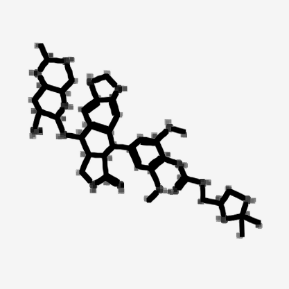 COc1cc(C2c3cc4c(cc3C(OC3OC5COC(C)OC5CC3O)C3COC(=O)C23)OCO4)cc(OC)c1OC(=S)OCC1COC(C)(C)O1